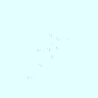 Cn1c(Nc2ccnc(C3C[C@@H]3C(=O)O)c2)nc2c1c(=O)n(Cc1ccc(Cl)c(Cl)c1)c(=O)n2C